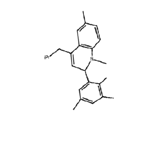 Cc1ccc2c(c1)C(CC(C)C)=CC(c1cc(C)cc(C)c1C)N2C